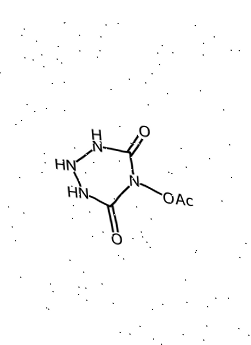 CC(=O)ON1C(=O)NNNC1=O